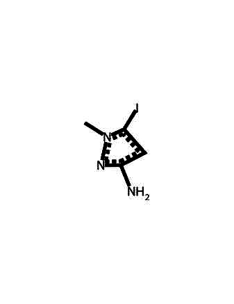 Cn1nc(N)cc1I